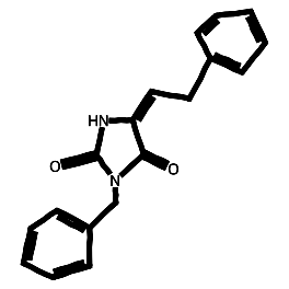 O=C1N/C(=C/Cc2ccccc2)C(=O)N1Cc1ccccc1